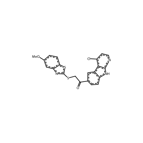 COc1ccc2sc(SCC(=O)c3ccc4[nH]c5nccc(Cl)c5c4c3)nc2c1